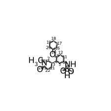 Cn1cc(-c2cc(N[SH](=O)=O)ccc2Oc2ccccc2)ccc1=O